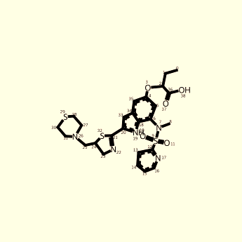 CCC(Oc1cc(N(C)S(=O)(=O)c2ccccn2)c2[nH]c(C3=NCC(CN4CCSCC4)S3)cc2c1)C(=O)O